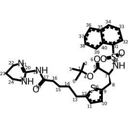 CC(C)(C)OC(=O)[C@H](Cc1ccc(CCCCC(=O)NC2=NCCCN2)s1)NS(=O)(=O)c1cccc2ccccc12